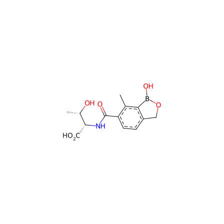 Cc1c(C(=O)N[C@H](C(=O)O)[C@H](C)O)ccc2c1B(O)OC2